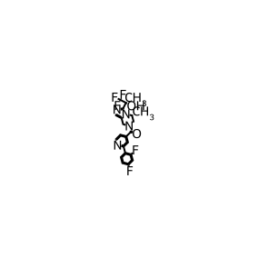 C[C@H]1CN(C(=O)c2ccnc(-c3ccc(F)cc3F)c2)Cc2cnc([C@@](C)(O)C(F)(F)F)n21